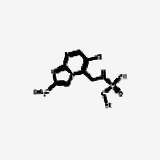 CCOC(=O)c1cn2c(CNP(=O)(O)OCC)c(Cl)cnc2n1